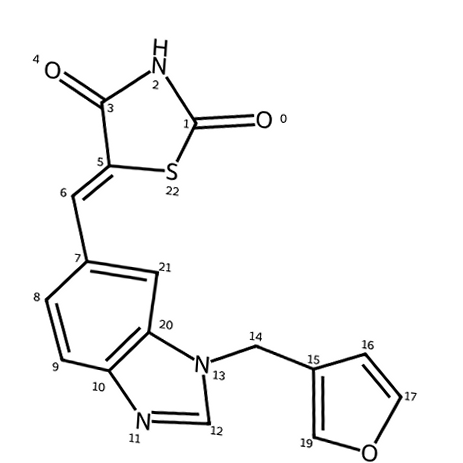 O=C1NC(=O)C(=Cc2ccc3ncn(Cc4ccoc4)c3c2)S1